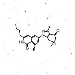 CCCCc1cc2cc(-n3nc(C)c4c3CC(C)(C)CC4=O)cc(F)c2c(=O)[nH]1